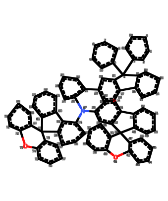 c1ccc(C2(c3ccccc3)c3ccccc3-c3ccc(-c4ccccc4N(c4ccc5c(c4)C4(c6ccccc6Oc6ccccc64)c4ccccc4-5)c4cccc5c4-c4ccccc4C54c5ccccc5Oc5ccccc54)cc32)cc1